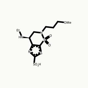 CCN[C@H]1CN(CCCOC)S(=O)(=O)c2sc(S(=O)(=O)O)nc21